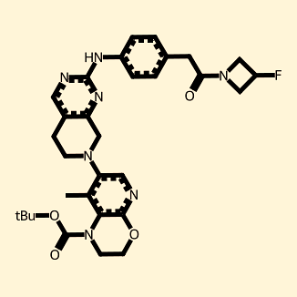 Cc1c(N2CCc3cnc(Nc4ccc(CC(=O)N5CC(F)C5)cc4)nc3C2)cnc2c1N(C(=O)OC(C)(C)C)CCO2